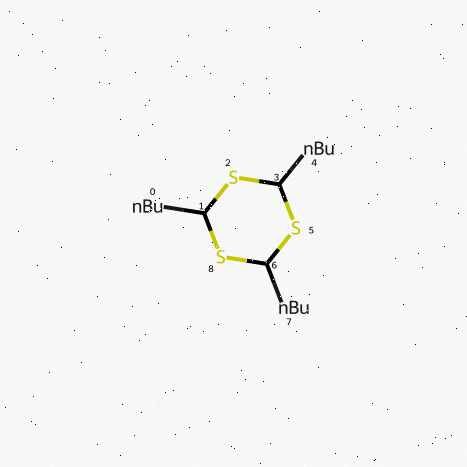 CCCCC1SC(CCCC)SC(CCCC)S1